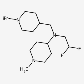 CC(C)N1CCC(CN(CC(F)F)C2CCN(C)CC2)CC1